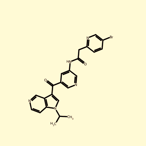 CC(C)n1cc(C(=O)c2cncc(NC(=O)Cc3ccc(Br)cn3)c2)c2cnccc21